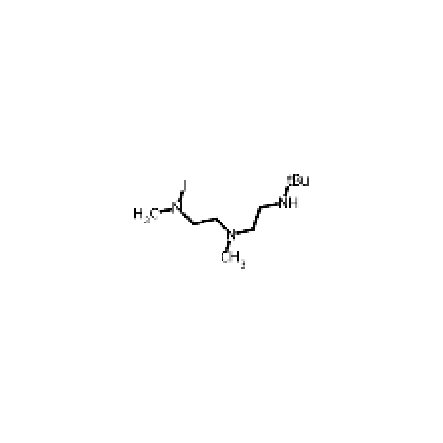 CN(I)CCN(C)CCNC(C)(C)C